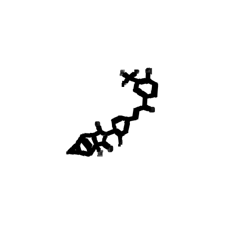 O=C(/C=C/c1ccc(N2C(=O)C3C4C=CC(C5CC45)[C@H]3C2=O)c(F)c1)c1ccc(Cl)c(C(F)(F)F)c1